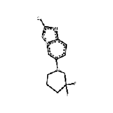 FC1(F)CCCN(c2ccc3nc(Cl)nn3c2)C1